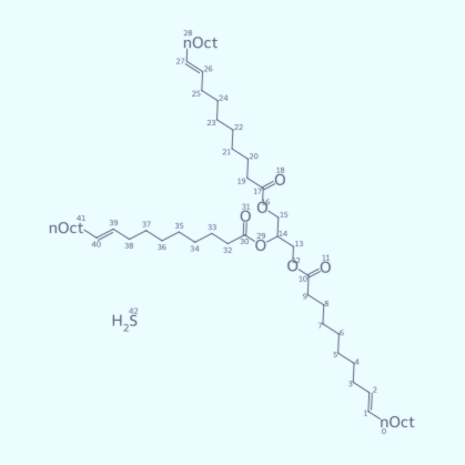 CCCCCCCC/C=C/CCCCCCCC(=O)OCC(COC(=O)CCCCCCC/C=C/CCCCCCCC)OC(=O)CCCCCCC/C=C/CCCCCCCC.S